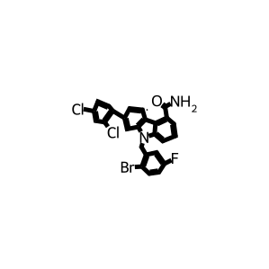 NC(=O)c1cccc2c1c1[c]cc(-c3ccc(Cl)cc3Cl)cc1n2Cc1cc(F)ccc1Br